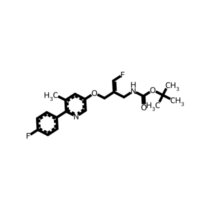 Cc1cc(OCC(=CF)CNC(=O)OC(C)(C)C)cnc1-c1ccc(F)cc1